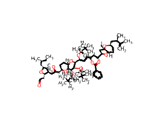 C=C(C)[C@H](C)C[C@H]1CC[C@@H]2OC(CCC(/C=C/[C@H](O[Si](C)(C)C(C)(C)C)[C@@H]3O[C@H]4CC[C@H](CC(=O)CC5[C@H](CC=O)O[C@H](C[C@H](C)CC)[C@@H]5C)O[C@@H]4[C@H](O[Si](C)(C)C(C)(C)C)[C@@H]3O[Si](C)(C)C(C)(C)C)OC(=O)c3ccccc3)C[C@]2(CI)O1